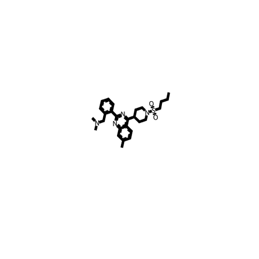 CCCCS(=O)(=O)N1CCC(c2nc(-c3ccccc3CN(C)C)nc3cc(C)ccc23)CC1